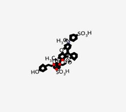 CN(c1ccc(S(=O)(=O)O)cc1)c1ccc2c(-c3ccccc3S(=O)(=O)N3CCC(C(=O)NCCc4ccc(O)cc4)CC3)c3cc/c(=[N+](/C)c4ccc(S(=O)(=O)O)cc4)cc-3oc2c1